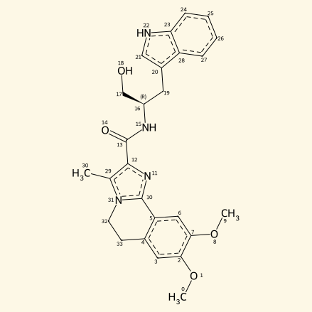 COc1cc2c(cc1OC)-c1nc(C(=O)N[C@@H](CO)Cc3c[nH]c4ccccc34)c(C)n1CC2